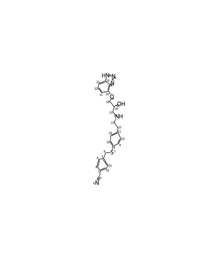 N#Cc1ccc(CSc2ccc(CCNC[C@H](O)COc3cccc4[nH]nnc34)cc2)cc1